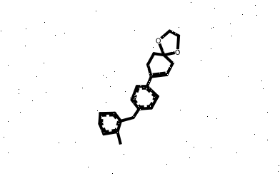 Cc1ccccc1Cc1ccc(C2=CCC3(CC2)OCCO3)cc1